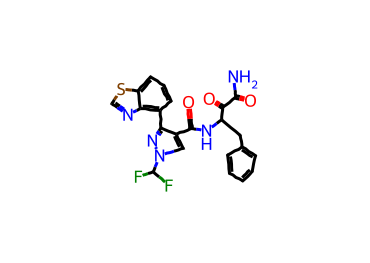 NC(=O)C(=O)C(Cc1ccccc1)NC(=O)c1cn(C(F)F)nc1-c1cccc2scnc12